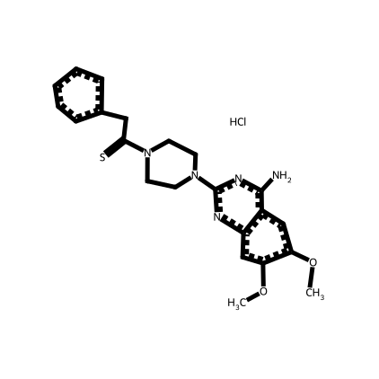 COc1cc2nc(N3CCN(C(=S)Cc4ccccc4)CC3)nc(N)c2cc1OC.Cl